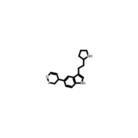 C1=CC(c2ccc3[nH]cc(CCC4CCCN4)c3c2)CSO1